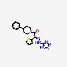 O=C(/C(=N/Nc1nnn[nH]1)c1cccs1)N1CCC(c2ccccc2)CC1